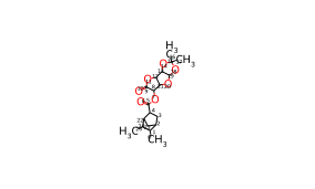 CC1C2CC(C(=O)OC3C(=O)OC4C5OC(C)(C)OC5OC34)C(C2)C1C